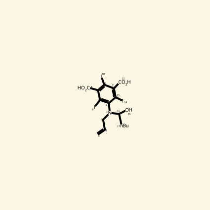 C=CCN(c1c(I)c(C(=O)O)c(I)c(C(=O)O)c1I)C(O)CCCC